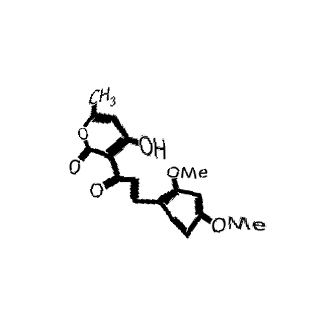 COc1ccc(C=CC(=O)c2c(O)cc(C)oc2=O)c(OC)c1